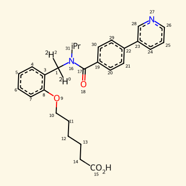 [2H]C([2H])(c1ccccc1OCCCCCC(=O)O)N(C(=O)c1ccc(-c2cccnc2)cc1)C(C)C